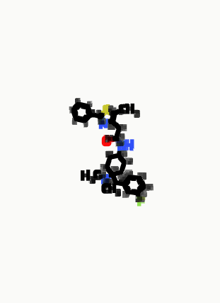 Cc1sc(-c2ccccc2)nc1CC(=O)NC1CCC(Cc2cccc(F)c2)(N(C)C)CC1